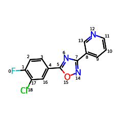 Fc1ccc(-c2nc(-c3cccnc3)no2)cc1Cl